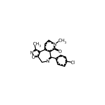 Cc1noc2c1-c1ccn(C)c(=O)c1C(c1ccc(Cl)cc1)=NC2